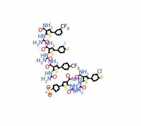 CS(=O)(=O)c1ccc(-c2cc(C(N)=O)c(NC(N)=O)s2)cc1.NC(=O)Nc1sc(-c2ccc(C(F)(F)F)cc2)cc1C(N)=O.NC(=O)Nc1sc(-c2ccc(F)c(Cl)c2)cc1C(N)=O.NC(=O)Nc1sc(-c2ccc(F)c(F)c2)cc1C(N)=O.NC(=O)Nc1sc(-c2cccc(C(F)(F)F)c2)cc1C(N)=O